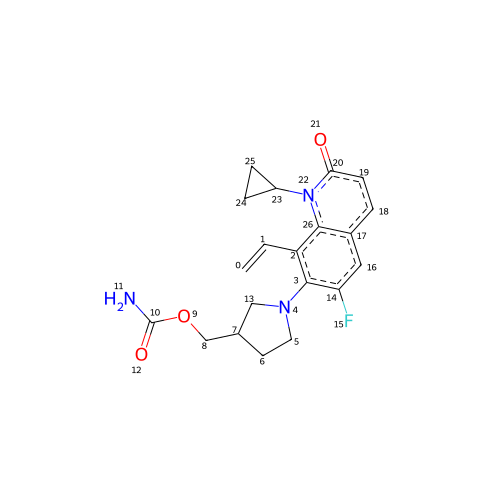 C=Cc1c(N2CCC(COC(N)=O)C2)c(F)cc2ccc(=O)n(C3CC3)c12